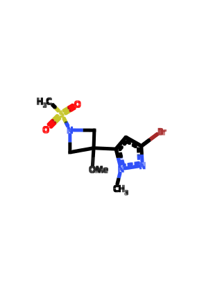 COC1(c2cc(Br)nn2C)CN(S(C)(=O)=O)C1